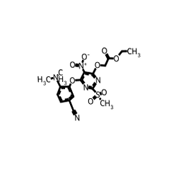 CCOC(=O)COc1nc(S(C)(=O)=O)nc(Oc2cc(C#N)ccc2N(C)C)c1[N+](=O)[O-]